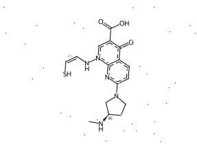 CN[C@@H]1CCN(c2ccc3c(=O)c(C(=O)O)cn(N/C=C\S)c3n2)C1